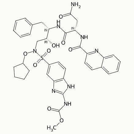 COC(=O)Nc1nc2cc(S(=O)(=O)N(C[C@@H](O)[C@H](Cc3ccccc3)NC(=O)[C@H](CC(N)=O)NC(=O)c3ccc4ccccc4n3)OC3CCCC3)ccc2[nH]1